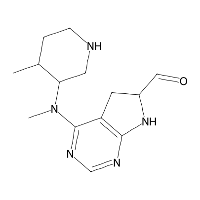 CC1CCNCC1N(C)c1ncnc2c1CC(C=O)N2